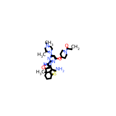 C=CC(=O)N1CCC(Oc2cc(N3CCN(C)C[C@@H]3C)nc(-c3cc(C4(C)CCCc5sc(N)c(C#N)c54)on3)n2)CC1